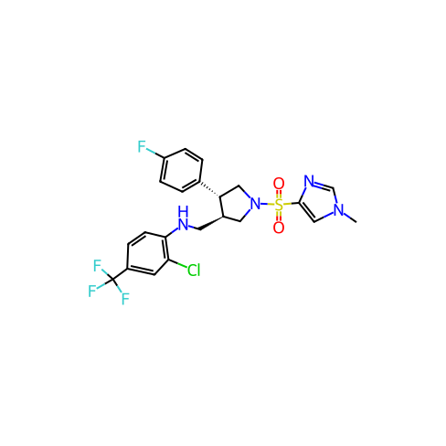 Cn1cnc(S(=O)(=O)N2C[C@@H](CNc3ccc(C(F)(F)F)cc3Cl)[C@H](c3ccc(F)cc3)C2)c1